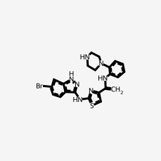 C=C(Nc1ccccc1N1CCNCC1)c1csc(Nc2n[nH]c3cc(Br)ccc23)n1